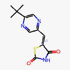 CC(C)(C)c1cnc(/C=C2\SC(=O)NC2=O)cn1